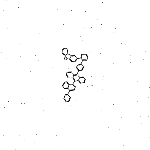 c1ccc(-c2ccc(-c3c4ccccc4c(-c4ccc(-c5ccccc5-c5ccc6oc7ccccc7c6c5)cc4)c4ccccc34)c3ccccc23)cc1